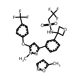 Cc1ccno1.Cn1nc(-c2cccc(C3(NS(=O)(=O)CC(F)(F)F)COC3)c2)cc1Oc1ccc(C(F)(F)F)cc1